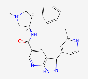 Cc1ccc([C@H]2CN(C)C[C@@H]2NC(=O)c2cnc3[nH]nc(-c4ccnc(C)c4)c3c2)cc1